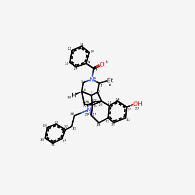 CCC1C2C3[C@@H](CN1C(=O)c1ccccc1)CC31C3Cc4ccc(O)cc4C21CCN3CCc1ccccc1